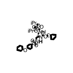 CC(C)OP(=O)(OC(C)C)C(=O)NC[C@H](CNS(=O)(=O)c1ccc(Oc2ccccc2)cc1)NC(=O)OCc1ccccc1